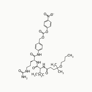 CCCCOC(C)(C)CCC(=O)NC(C(=O)N[C@@H](CCCNC(N)=O)C(=O)Nc1ccc(COC(=O)Oc2ccc([N+](=O)[O-])cc2)cc1)C(C)C